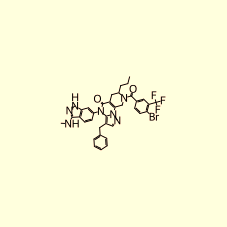 CCCC1Cc2c(n3ncc(Cc4ccccc4)c3n(-c3ccc4c(NC)n[nH]c4c3)c2=O)CN1C(=O)c1ccc(Br)c(C(F)(F)F)c1